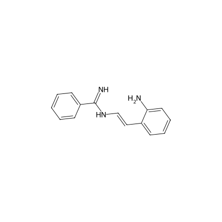 N=C(N/C=C/c1ccccc1N)c1ccccc1